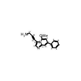 COc1cc(-c2ccccc2)cc2ncc(C#CCN)n12